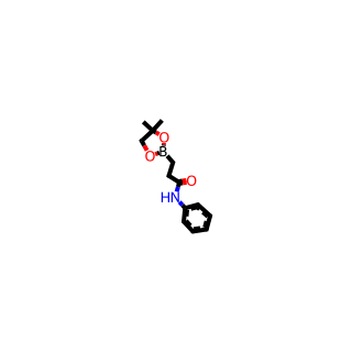 CC1(C)COB(CCC(=O)Nc2ccccc2)O1